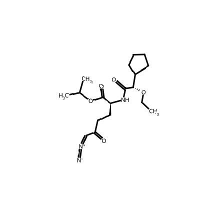 CCO[C@H](C(=O)N[C@@H](CCC(=O)C=[N+]=[N-])C(=O)OC(C)C)C1CCCC1